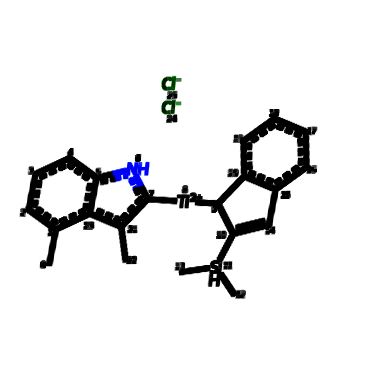 Cc1cccc2[nH][c]([Ti+2][CH]3C([SiH](C)C)=Cc4ccccc43)c(C)c12.[Cl-].[Cl-]